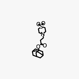 O=C(CCN1CCS(=O)(=O)CC1)OC12CC3CC(CC(C3)C1)C2